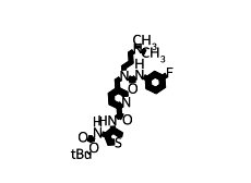 CN(C)CCCN(Cc1ccc(C(=O)Nc2cscc2NC(=O)OC(C)(C)C)nc1)C(=O)Nc1cccc(F)c1